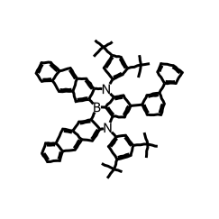 CC(C)(C)c1cc(N2c3cc4cc5ccccc5cc4cc3B3c4cc5cc6ccccc6cc5cc4N(c4cc(C(C)(C)C)cc(C(C)(C)C)c4)c4cc(-c5cccc(-c6ccccc6)c5)cc2c43)cc(C(C)(C)C)c1